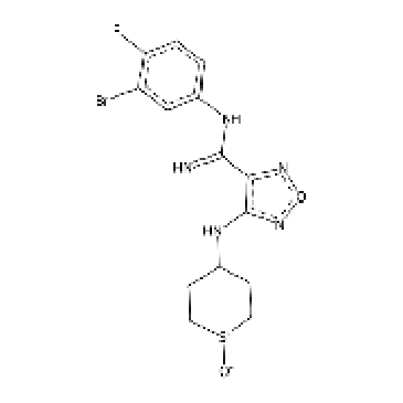 N=C(Nc1ccc(F)c(Br)c1)c1nonc1NC1CC[S+]([O-])CC1